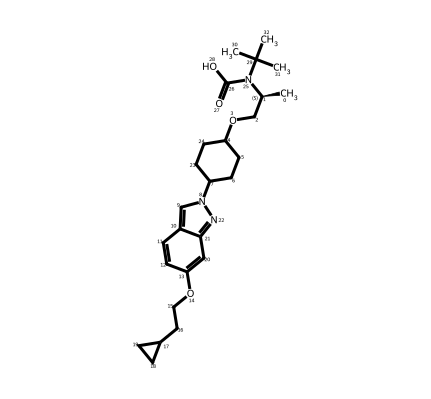 C[C@@H](COC1CCC(n2cc3ccc(OCCC4CC4)cc3n2)CC1)N(C(=O)O)C(C)(C)C